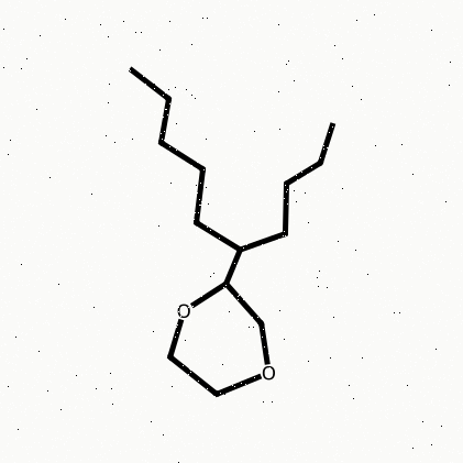 CCCCCC(CCCC)C1COCCO1